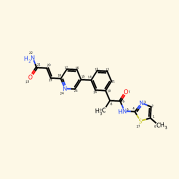 Cc1cnc(NC(=O)C(C)c2cccc(-c3ccc(C=CC(N)=O)nc3)c2)s1